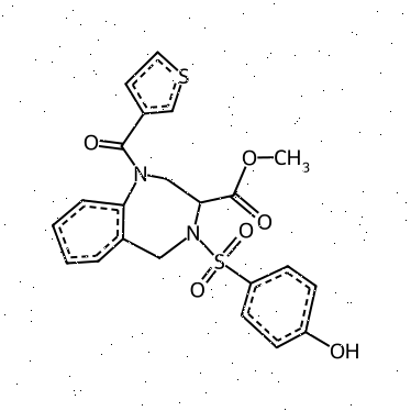 COC(=O)C1CN(C(=O)c2ccsc2)c2ccccc2CN1S(=O)(=O)c1ccc(O)cc1